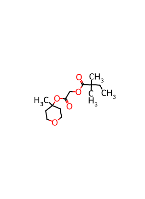 CCC(C)(C)C(=O)OCC(=O)OC1(C)CCOCC1